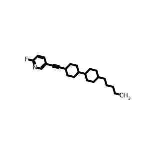 CCCCCC1CCC(C2CCC(C#Cc3ccc(F)nc3)CC2)CC1